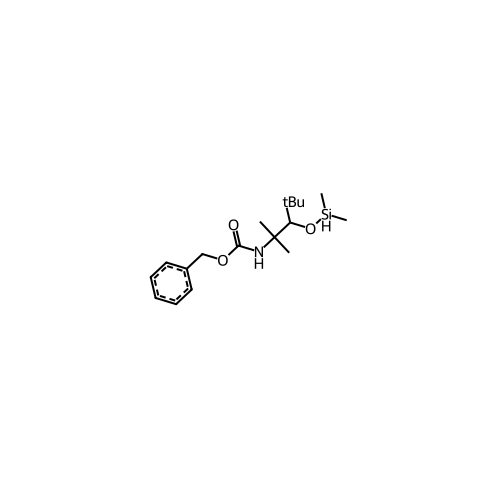 C[SiH](C)OC(C(C)(C)C)C(C)(C)NC(=O)OCc1ccccc1